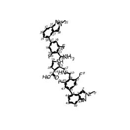 Cn1cc2c(-c3cc(F)c(CNCC4=C(C(=O)O)C=C[SH]4C(N)c4c(F)cc(-c5cccc6nn(C)cc56)cc4F)c(F)c3)cccc2n1